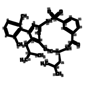 Cc1cccc(C)c1-c1nc2nc(c1OC(C)C)OC[C@@H](CC(C)C)NC(=O)c1cccc(c1)S(=O)(=O)N2